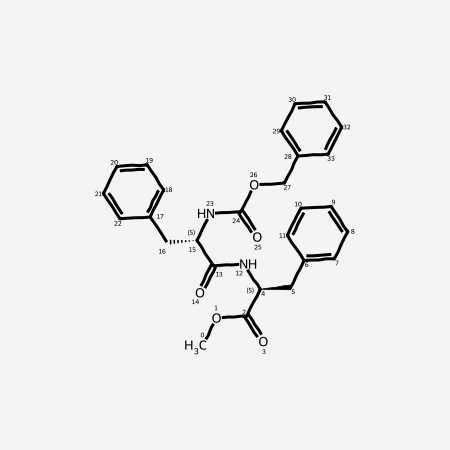 COC(=O)[C@H](Cc1ccccc1)NC(=O)[C@H](Cc1ccccc1)NC(=O)OCc1ccccc1